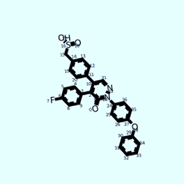 O=c1c(-c2ccc(F)cc2)c(-c2ccc(C[SH](=O)=O)cc2)cnn1-c1ccc(Oc2ccccc2)cc1